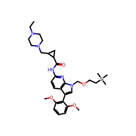 CCN1CCN(CC2CC2C(=O)Nc2ccc3c(-c4c(OC)cccc4OC)cn(COCC[Si](C)(C)C)c3n2)CC1